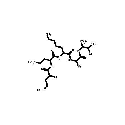 CC(C)C(NC(=O)C(CCCCN)NC(=O)C(CCC(=O)O)NC(=O)C(N)CCC(=O)O)C(=O)NC(C(=O)O)C(C)O